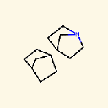 C1CC2CCC1C2.C1CN2CCC1C2